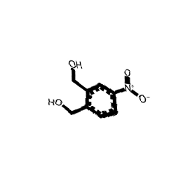 O=[N+]([O-])c1ccc(CO)c(CO)c1